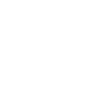 [CH2]Cc1ccc(-n2nc(C)c(Cc3ccccc3)c2C)cc1